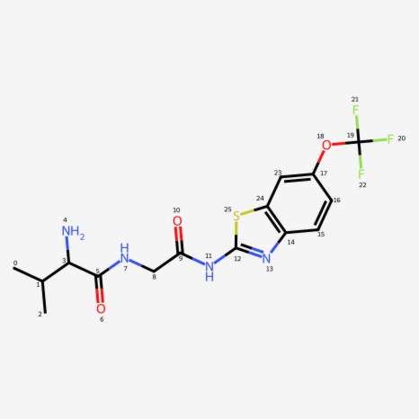 CC(C)C(N)C(=O)NCC(=O)Nc1nc2ccc(OC(F)(F)F)cc2s1